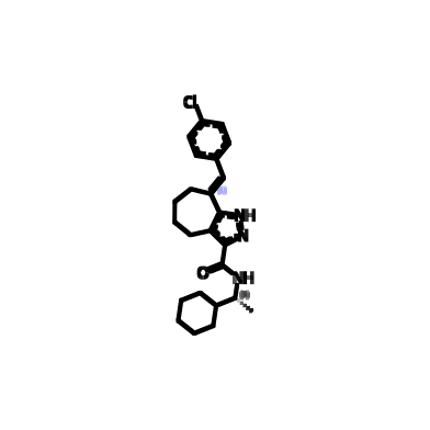 C[C@@H](NC(=O)c1n[nH]c2c1CCCC/C2=C\c1ccc(Cl)cc1)C1CCCCC1